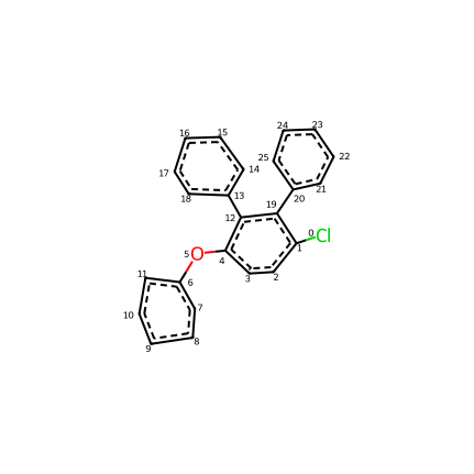 Clc1c[c]c(Oc2ccccc2)c(-c2ccccc2)c1-c1ccccc1